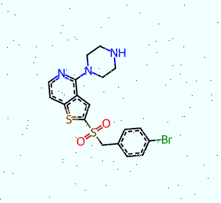 O=S(=O)(Cc1ccc(Br)cc1)c1cc2c(N3CCNCC3)nccc2s1